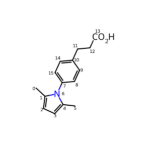 Cc1ccc(C)n1-c1ccc(CCC(=O)O)cc1